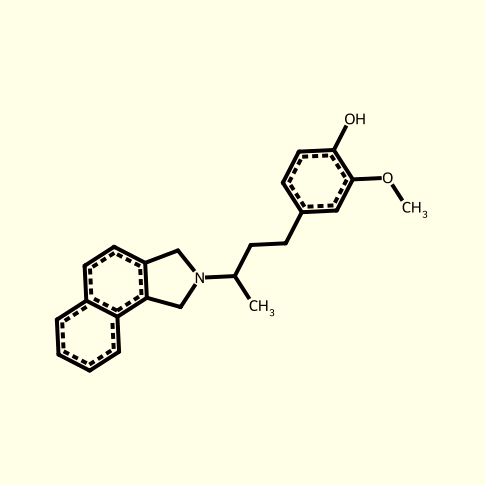 COc1cc(CCC(C)N2Cc3ccc4ccccc4c3C2)ccc1O